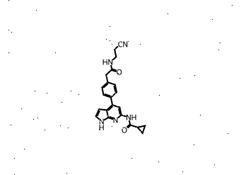 N#CCCNC(=O)Cc1ccc(-c2cc(NC(=O)C3CC3)nc3[nH]ccc23)cc1